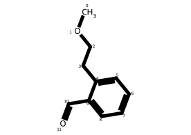 COCCc1ccccc1C=O